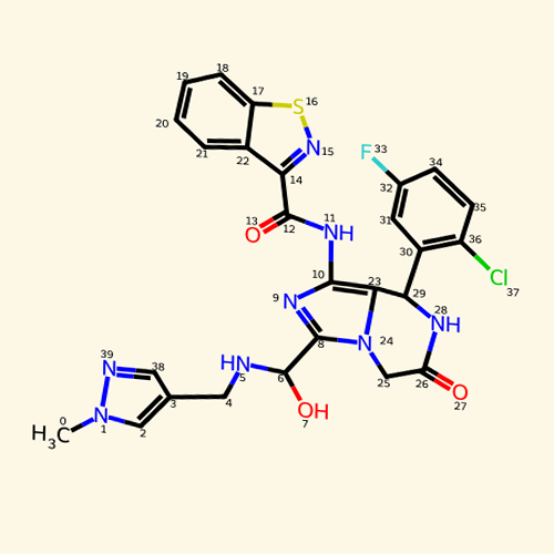 Cn1cc(CNC(O)c2nc(NC(=O)c3nsc4ccccc34)c3n2CC(=O)NC3c2cc(F)ccc2Cl)cn1